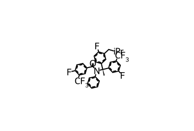 CC(C)Cc1cc([C@](C)(c2cc(F)cc(C(F)(F)F)c2)N(C(=O)c2ccc(F)c(C(F)(F)F)c2)c2ccccc2)ccc1F